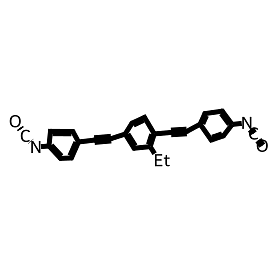 CCc1cc(C#Cc2ccc(N=C=O)cc2)ccc1C#Cc1ccc(N=C=O)cc1